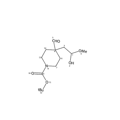 COC(O)CC1(C=O)CCN(C(=O)OC(C)(C)C)CC1